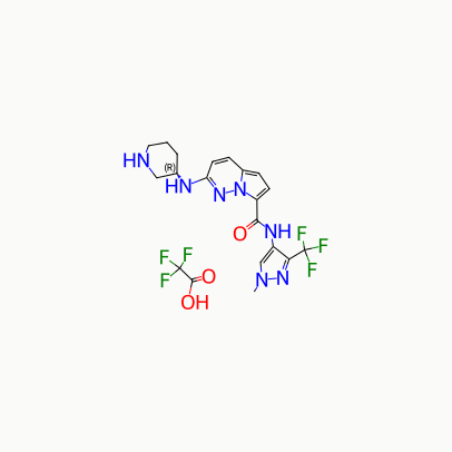 Cn1cc(NC(=O)c2ccc3ccc(N[C@@H]4CCCNC4)nn23)c(C(F)(F)F)n1.O=C(O)C(F)(F)F